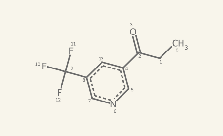 CCC(=O)c1cncc(C(F)(F)F)c1